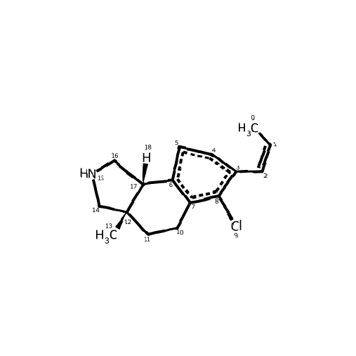 C/C=C\c1ccc2c(c1Cl)CC[C@]1(C)CNC[C@H]21